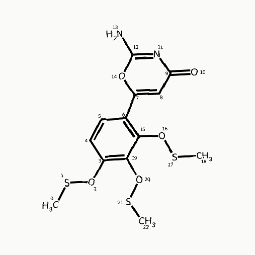 CSOc1ccc(-c2cc(=O)nc(N)o2)c(OSC)c1OSC